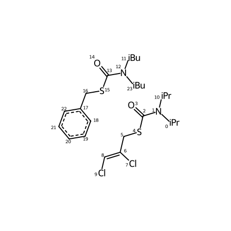 CC(C)N(C(=O)SCC(Cl)=CCl)C(C)C.CCC(C)N(C(=O)SCc1ccccc1)C(C)CC